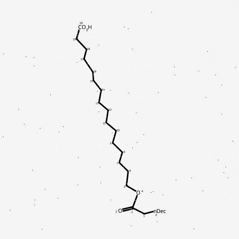 CCCCCCCCCCCC(=O)OCCCCCCCCCCCCCCCC(=O)O